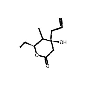 C=CC[C@]1(O)CC(=O)O[C@@H](CC)C1C